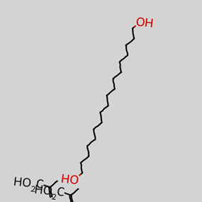 C=C(C)C(=O)O.C=C(C)C(=O)O.OCCCCCCCCCCCCCCCCCCO